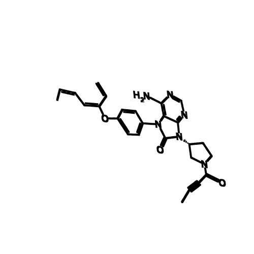 C=C/C(=C\C=C/C)Oc1ccc(-n2c(=O)n([C@@H]3CCN(C(=O)C#CC)C3)c3ncnc(N)c32)cc1